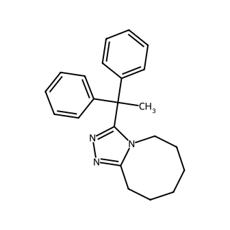 CC(c1ccccc1)(c1ccccc1)c1nnc2n1CCCCCC2